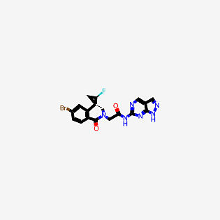 O=C(CN1C[C@@]2(C[C@H]2F)c2cc(Br)ccc2C1=O)Nc1ncc2cn[nH]c2n1